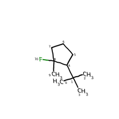 CC(C)(C)C1CCCC1(C)F